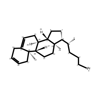 CC(C)CCC[C@@H](C)[C@H]1CC[C@H]2[C@@H]3CC=C4CC=CC[C@]4(C)[C@H]3CC[C@]12C